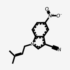 CC(C)=CCn1cc(C#N)c2cc([N+](=O)[O-])ccc21